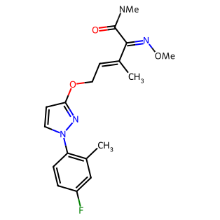 CNC(=O)C(=N/OC)/C(C)=C/COc1ccn(-c2ccc(F)cc2C)n1